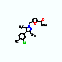 CNC(=O)c1ccc(Cn2nc(C)c(-c3ccc(C#N)c(Cl)c3)c2C)o1